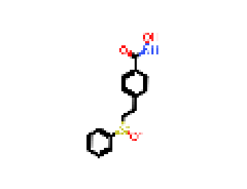 O=C(NO)c1ccc(CC[S+]([O-])c2ccccc2)cc1